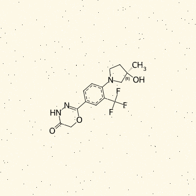 C[C@@]1(O)CCN(c2ccc(C3=NNC(=O)CO3)cc2C(F)(F)F)C1